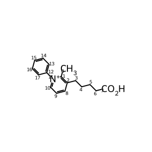 Cc1c(CCCCC(=O)O)ccc[n+]1-c1ccccc1